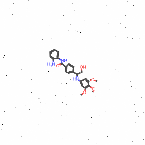 COc1cc(NC(CO)c2ccc(C(=O)Nc3ccccc3N)cc2)cc(OC)c1OC